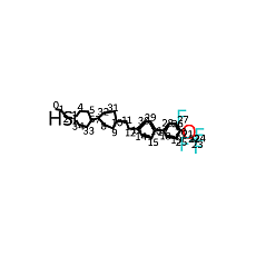 CCC[SiH]1CCC(C2CCC(CCc3ccc(-c4ccc(OC(F)(F)F)c(F)c4)cc3)CC2)CC1